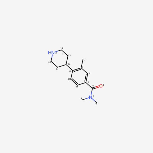 Cc1cc(C(=O)N(C)C)ccc1C1CCNCC1